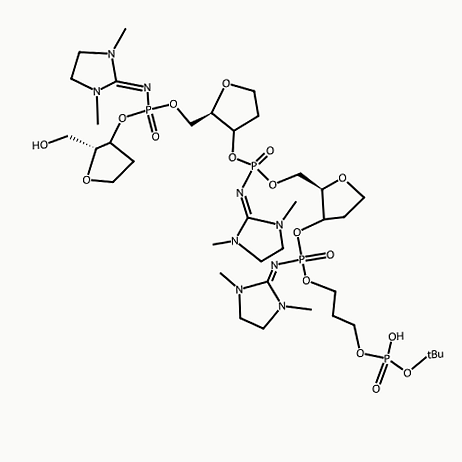 CN1CCN(C)C1=NP(=O)(OC[C@H]1OCCC1OP(=O)(N=C1N(C)CCN1C)OC[C@H]1OCCC1OP(=O)(N=C1N(C)CCN1C)OCCCOP(=O)(O)OC(C)(C)C)OC1CCO[C@@H]1CO